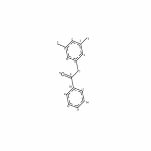 Cc1cc(C)cc(CC(=O)c2ccccc2)c1